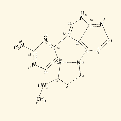 CNC1CCN(c2ccnc3[nH]cc(-c4ccnc(N)n4)c23)C1